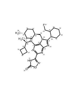 C[C@@H](Nc1nc(-c2noc(=O)[nH]2)nc2nc(N3CCCCC3CF)n(C[C@H]3CC[C@H](C)CC3)c12)C1CCC1